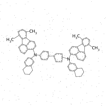 Cc1ccc(C)c2c1-c1cccc3c(N(c4ccc(-c5ccc(N(c6ccc7c(c6)CCCC7)c6ccc7c8c(cccc68)-c6c(C)ccc(C)c6-7)cc5)cc4)c4ccc5c(c4)CCCC5)ccc-2c13